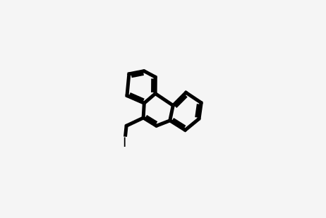 ICc1cc2ccccc2c2ccccc12